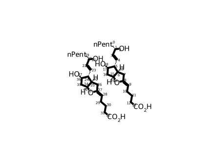 CCCCC[C@H](O)/C=C/[C@@H]1[C@H]2C/C(=C/CCCC(=O)O)O[C@H]2C[C@H]1O.CCCCC[C@H](O)/C=C/[C@@H]1[C@H]2C/C(=C/CCCC(=O)O)O[C@H]2C[C@H]1O